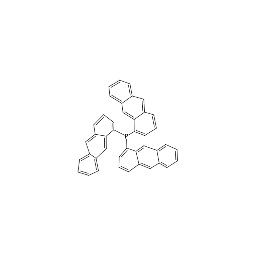 c1ccc2cc3c(P(c4cccc5cc6ccccc6cc45)c4cccc5cc6ccccc6cc45)cccc3cc2c1